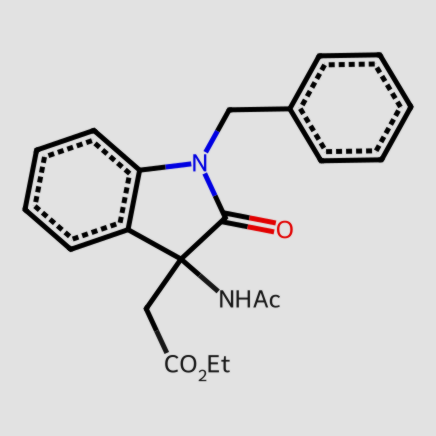 CCOC(=O)CC1(NC(C)=O)C(=O)N(Cc2ccccc2)c2ccccc21